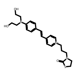 O=C1SCCN1CCC[n+]1ccc(/C=C/c2ccc(N(CCO)CCO)cc2)cc1